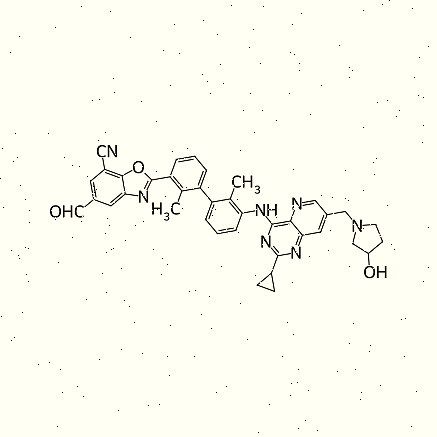 Cc1c(Nc2nc(C3CC3)nc3cc(CN4CCC(O)C4)cnc23)cccc1-c1cccc(-c2nc3cc(C=O)cc(C#N)c3o2)c1C